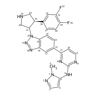 Cn1nccc1Nc1nccc(-c2ccc3c(c2)nnn3C2CNC[C@H]2c2ccc(F)c(F)c2)n1